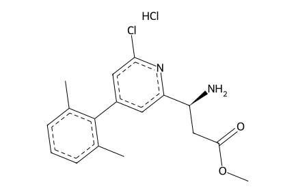 COC(=O)C[C@H](N)c1cc(-c2c(C)cccc2C)cc(Cl)n1.Cl